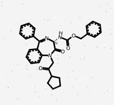 O=C(N[C@H]1N=C(c2ccccc2)c2ccccc2N(CC(=O)C2CCCC2)C1=O)OCc1ccccc1